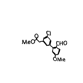 COC(=O)Cc1cc(Cl)cc(-c2cc(OC)ccc2C=O)c1